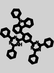 c1ccc(C2=NC(c3ccccc3)NC(c3cc(-c4nc(-c5ccccc5)nc(-c5ccccc5)n4)ccc3-c3cccc4c3c3ccccc3n4-c3ccccc3)=N2)cc1